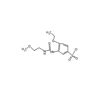 CCOc1ccc(S(=O)(=O)Cl)cc1NC(=O)NCCOC